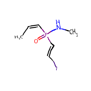 C/C=C\P(=O)(/C=C/I)NC